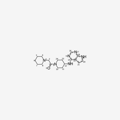 O=C(CN1CCCCC1)N1CCC(Nc2ncnc3[nH]ccc23)CC1